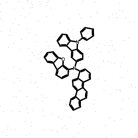 c1ccc(-n2c3ccccc3c3cc(N(c4cccc5c4ccc4c6ccccc6ccc54)c4cccc5c4oc4ccccc45)ccc32)cc1